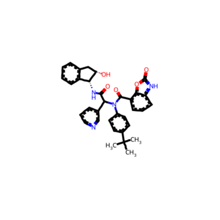 CC(C)(C)c1ccc(N(C(=O)c2cccc3[nH]c(=O)oc23)C(C(=O)N[C@@H]2c3ccccc3C[C@@H]2O)c2cccnc2)cc1